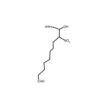 CCCCCCC(O)C(CCCCCCC[C]=O)[N+](=O)[O-]